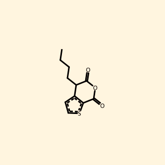 CCCCC1C(=O)OC(=O)c2sccc21